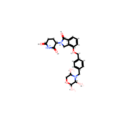 BC1OCC(B)N(Cc2ccc(COc3cccc4c3CN(C3CCC(=O)NC3=O)C4=O)cc2)C1B